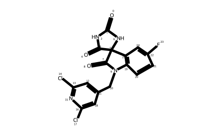 O=C1NC(=O)C2(N1)C(=O)N(Cc1cc(Cl)nc(Cl)c1)c1ccc(F)cc12